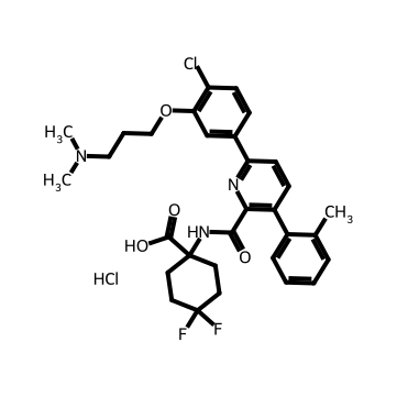 Cc1ccccc1-c1ccc(-c2ccc(Cl)c(OCCCN(C)C)c2)nc1C(=O)NC1(C(=O)O)CCC(F)(F)CC1.Cl